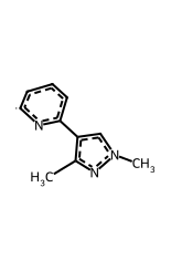 Cc1nn(C)cc1-c1ccc[c]n1